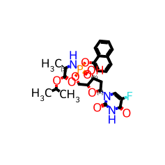 CC(C)OC(=O)[C@H](C)NP(=O)(OCC1O[C@@H](n2cc(F)c(=O)[nH]c2=O)C[C@H]1O)Oc1cccc2ccccc12